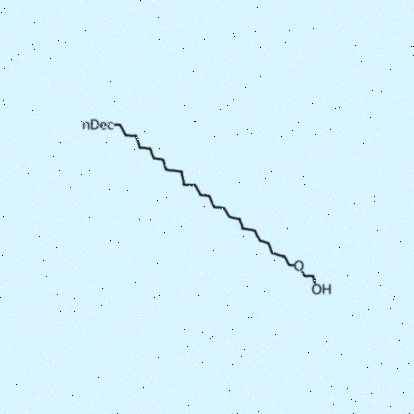 CCCCCCCCCCCCCCCCCCCCCCCCCCCCCCCCCCOCCO